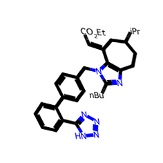 CCCCc1nc2c(n1Cc1ccc(-c3ccccc3-c3nnn[nH]3)cc1)C(=CC(=O)OCC)CC(C(C)C)CC2